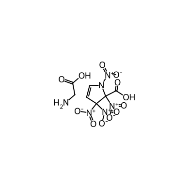 NCC(=O)O.O=C(O)C1([N+](=O)[O-])N([N+](=O)[O-])C=CC1([N+](=O)[O-])[N+](=O)[O-]